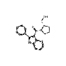 O=C(c1c(-c2ccccc2)sc2cccnc12)N1CCC[C@H]1CO